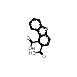 O=C(O)c1ccc2sc3ccccc3c2c1C(=O)O